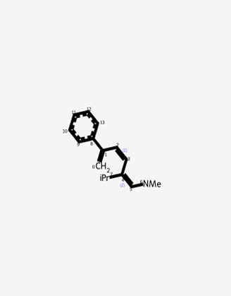 C=C(/C=C\C(=C/NC)C(C)C)c1ccccc1